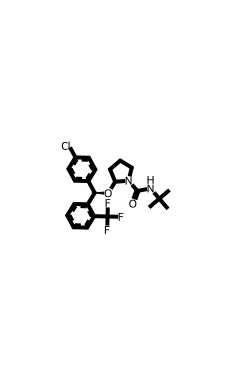 CC(C)(C)NC(=O)N1CCCC1O[C@H](c1ccc(Cl)cc1)c1ccccc1C(F)(F)F